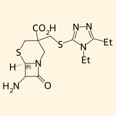 CCc1nnc(SCC2(C(=O)O)CS[C@@H]3C(N)C(=O)N3C2)n1CC